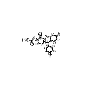 C[C@@H]1CN(C(c2ccc(F)cc2)c2ccc(F)cc2)CCN1CC(=O)O